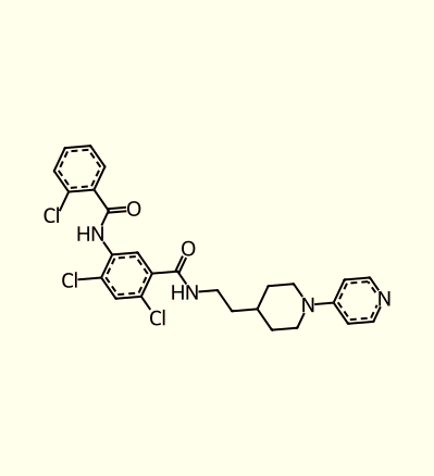 O=C(NCCC1CCN(c2ccncc2)CC1)c1cc(NC(=O)c2ccccc2Cl)c(Cl)cc1Cl